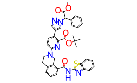 COC(=O)C(c1ccccc1)n1cc(-c2ccc(N3CCc4cccc(C(=O)Nc5nc6ccccc6s5)c4C3)nc2C(=O)OC(C)(C)C)cn1